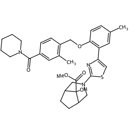 COC(=O)C1(O)C2CCC1CN(c1nc(-c3cc(C)ccc3OCc3ccc(C(=O)N4CCCCC4)cc3C)cs1)C2